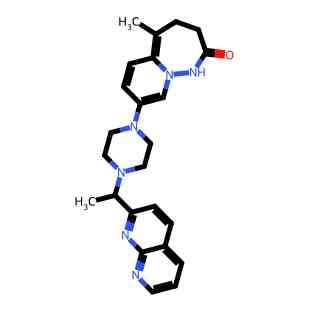 CC1=C2C=CC(N3CCN(C(C)c4ccc5cccnc5n4)CC3)=CN2NC(=O)CC1